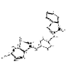 O=C1c2ccccc2CN1CC1CCN(Cc2noc3cc(F)ccc23)CC1